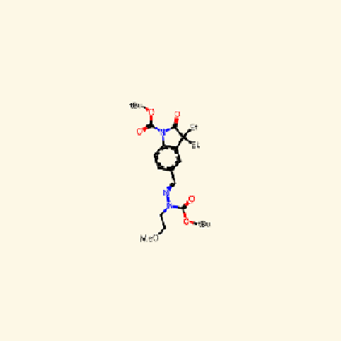 CCC1(CC)C(=O)N(C(=O)OC(C)(C)C)c2ccc(/C=N/N(CCOC)C(=O)OC(C)(C)C)cc21